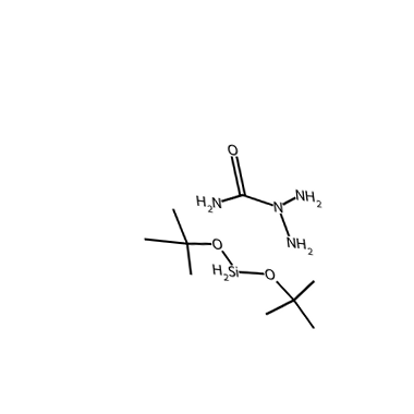 CC(C)(C)O[SiH2]OC(C)(C)C.NC(=O)N(N)N